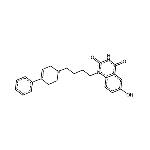 O=c1[nH]c(=O)n(CCCCN2CC=C(c3ccccc3)CC2)c2ccc(O)cc12